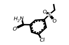 CCS(=O)(=O)c1cc(Cl)cc(C(N)=O)c1